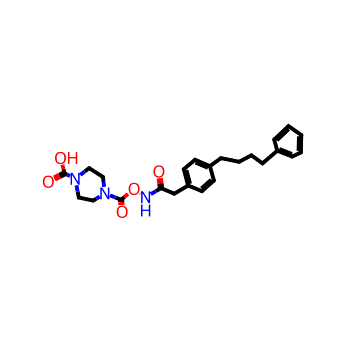 O=C(Cc1ccc(CCCCc2ccccc2)cc1)NOC(=O)N1CCN(C(=O)O)CC1